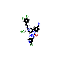 Cl.N#Cc1ccc2c(c1)c1c(n2C(=O)NCc2ccnc(Cl)c2)CCN(C/C=C/c2ccc(Br)c(F)c2)C1